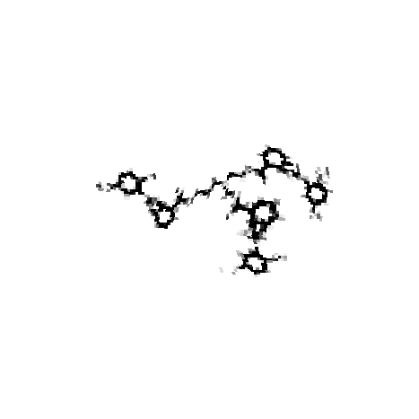 Cc1ccc(O)c(-n2n3c4cccc(C(=O)OCCCN(CCOC(=O)c5cccc6c5n5n(-c7cc(C)ccc7O)n65)COC(=O)c5cccc6c5n5n(-c7cc(C)ccc7O)n65)c4n23)c1